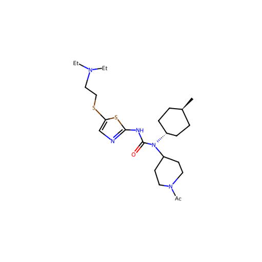 CCN(CC)CCSc1cnc(NC(=O)N(C2CCN(C(C)=O)CC2)[C@H]2CC[C@H](C)CC2)s1